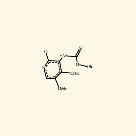 COc1cnc(Cl)c(NC(=O)OC(C)(C)C)c1C=O